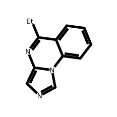 CCc1nc2cncn2c2ccccc12